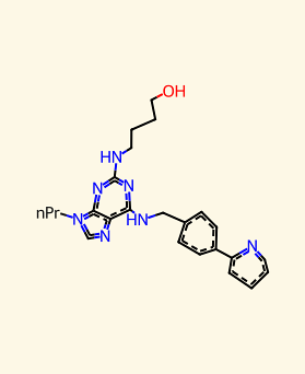 CCCn1cnc2c(NCc3ccc(-c4ccccn4)cc3)nc(NCCCCO)nc21